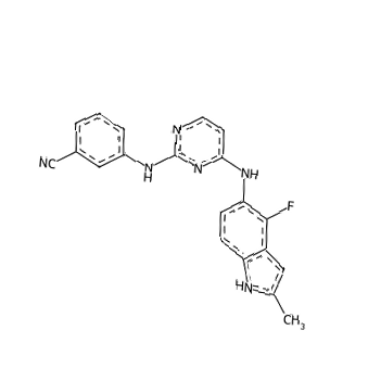 Cc1cc2c(F)c(Nc3ccnc(Nc4cccc(C#N)c4)n3)ccc2[nH]1